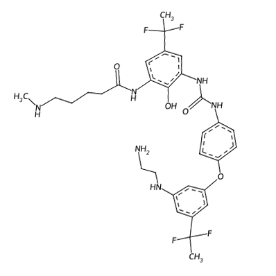 CNCCCCC(=O)Nc1cc(C(C)(F)F)cc(NC(=O)Nc2ccc(Oc3cc(NCCN)cc(C(C)(F)F)c3)cc2)c1O